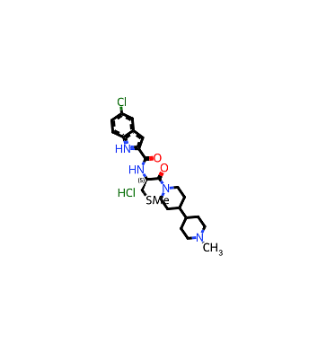 CSC[C@@H](NC(=O)c1cc2cc(Cl)ccc2[nH]1)C(=O)N1CCC(C2CCN(C)CC2)CC1.Cl